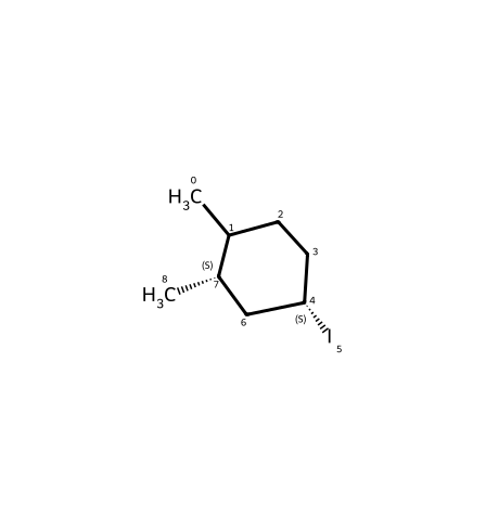 CC1CC[C@H](I)C[C@@H]1C